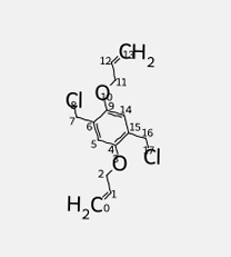 C=CCOc1cc(CCl)c(OCC=C)cc1CCl